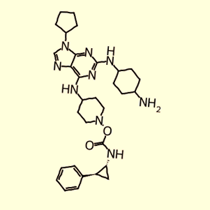 NC1CCC(Nc2nc(NC3CCN(OC(=O)N[C@@H]4C[C@H]4c4ccccc4)CC3)c3ncn(C4CCCC4)c3n2)CC1